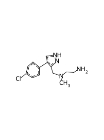 CN(CCN)Cc1n[nH]cc1-c1ccc(Cl)cc1